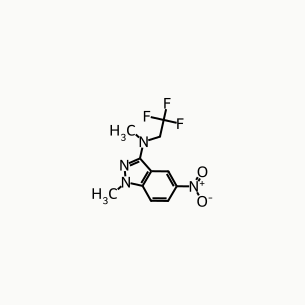 CN(CC(F)(F)F)c1nn(C)c2ccc([N+](=O)[O-])cc12